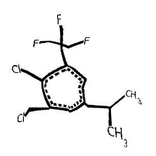 C[C](C)c1cc(Cl)c(Cl)c(C(F)(F)F)c1